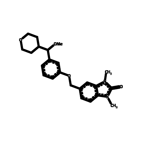 COC(c1cccc(OCc2ccc3c(c2)n(C)c(=O)n3C)c1)C1CCOCC1